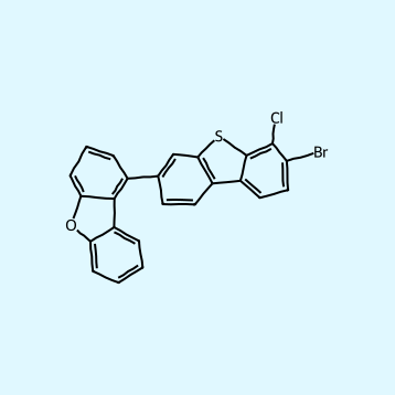 Clc1c(Br)ccc2c1sc1cc(-c3cccc4oc5ccccc5c34)ccc12